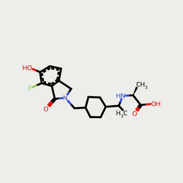 CC(N[C@@H](C)C(=O)O)C1CCC(CN2Cc3ccc(O)c(F)c3C2=O)CC1